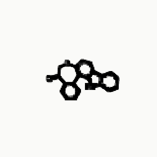 O=C1COc2ccc3c([nH]c4ccccc43)c2-c2ccccc21